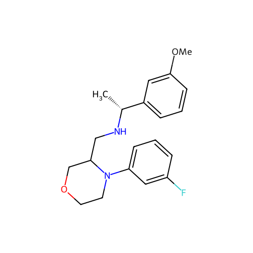 COc1cccc([C@@H](C)NCC2COCCN2c2cccc(F)c2)c1